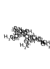 C=CC(=O)Nc1cc(Nc2cc(N3OCCC3c3cccc(OC)c3)ncn2)c(OC)cc1N1CCC(N2CCC(N(C)C)C2)CC1